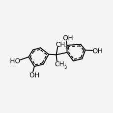 CC(C)(c1ccc(O)c(O)c1)c1ccc(O)cc1O